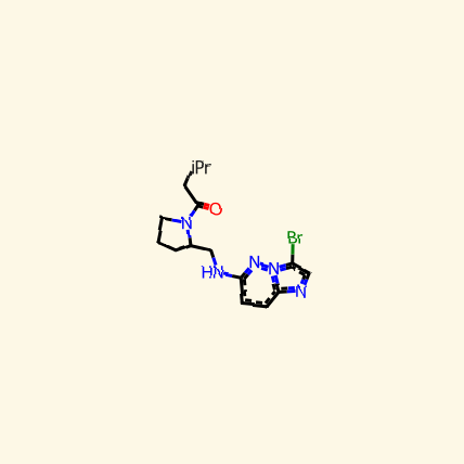 CC(C)CC(=O)N1CCCC1CNc1ccc2ncc(Br)n2n1